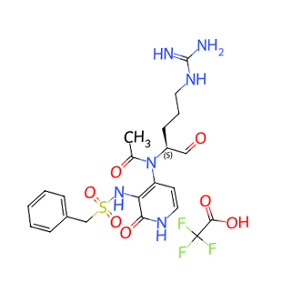 CC(=O)N(c1cc[nH]c(=O)c1NS(=O)(=O)Cc1ccccc1)[C@H](C=O)CCCNC(=N)N.O=C(O)C(F)(F)F